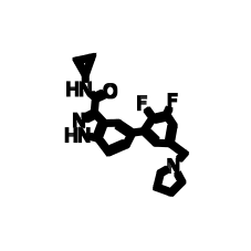 O=C(NC1CC1)c1n[nH]c2ccc(-c3cc(CN4CCCC4)cc(F)c3F)cc12